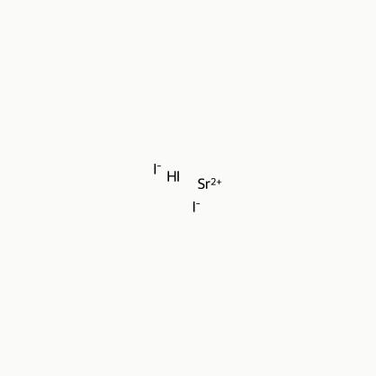 I.[I-].[I-].[Sr+2]